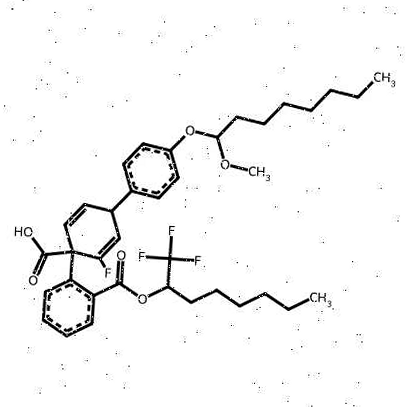 CCCCCCCC(OC)Oc1ccc(C2C=CC(C(=O)O)(c3ccccc3C(=O)OC(CCCCCC)C(F)(F)F)C(F)=C2)cc1